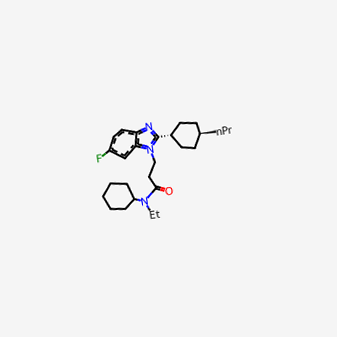 CCC[C@H]1CC[C@H](c2nc3ccc(F)cc3n2CCC(=O)N(CC)C2CCCCC2)CC1